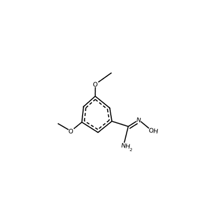 COc1cc(OC)cc(/C(N)=N/O)c1